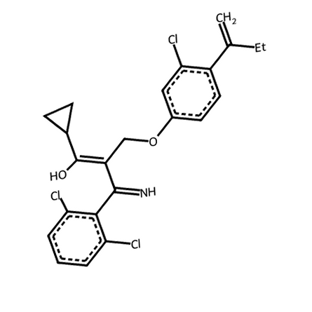 C=C(CC)c1ccc(OC/C(C(=N)c2c(Cl)cccc2Cl)=C(/O)C2CC2)cc1Cl